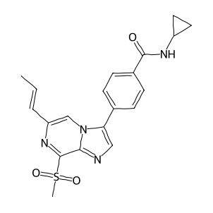 CC=Cc1cn2c(-c3ccc(C(=O)NC4CC4)cc3)cnc2c(S(C)(=O)=O)n1